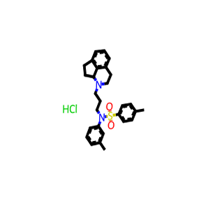 Cc1ccc(S(=O)(=O)N(CCCN2CCc3cccc4c3C2CC4)c2cccc(C)c2)cc1.Cl